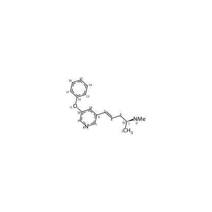 CN[C@@H](C)CC=Cc1cncc(Oc2ccccc2)c1